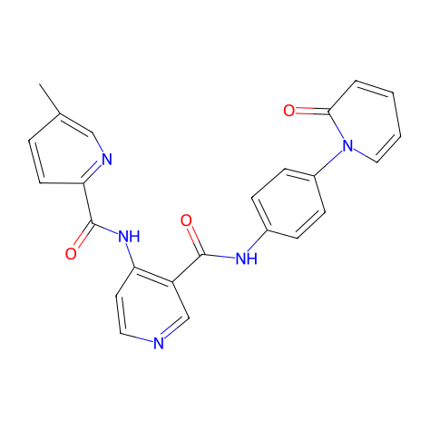 Cc1ccc(C(=O)Nc2ccncc2C(=O)Nc2ccc(-n3ccccc3=O)cc2)nc1